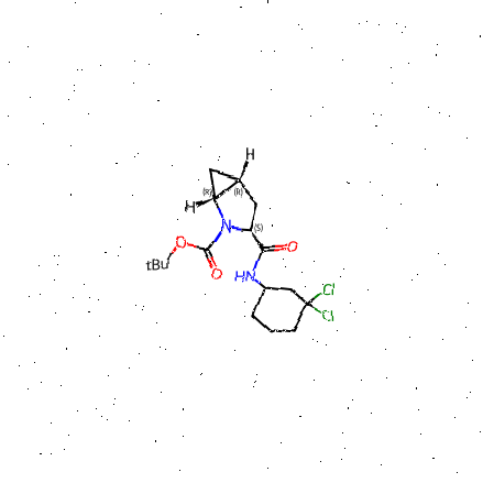 CC(C)(C)OC(=O)N1[C@@H]2C[C@@H]2C[C@H]1C(=O)NC1CCCC(Cl)(Cl)C1